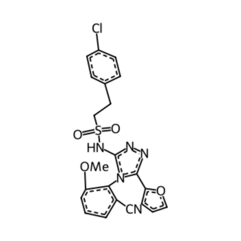 COc1cccc(C#N)c1-n1c(NS(=O)(=O)CCc2ccc(Cl)cc2)nnc1-c1ccco1